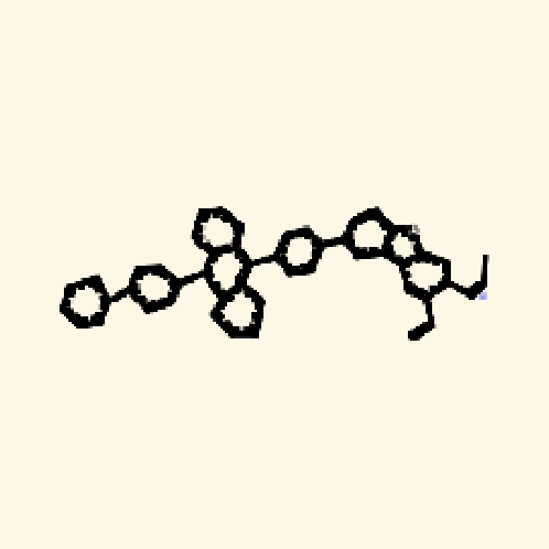 C=Cc1cc2c(cc1/C=C\C)oc1ccc(-c3ccc(-c4c5ccccc5c(-c5ccc(-c6ccccc6)cc5)c5ccccc45)cc3)cc12